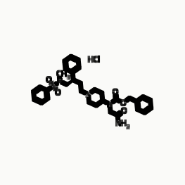 CN(C[C@H](CCN1CCC(N(CC(N)=O)C(=O)OCc2ccccc2)CC1)c1ccccc1)S(=O)(=O)c1ccccc1.Cl